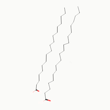 CCCCCCCCCCCCCCCCCC(=O)[O-].CCCCCCCCCCCCCCCCCCCC(=O)O.[Na+]